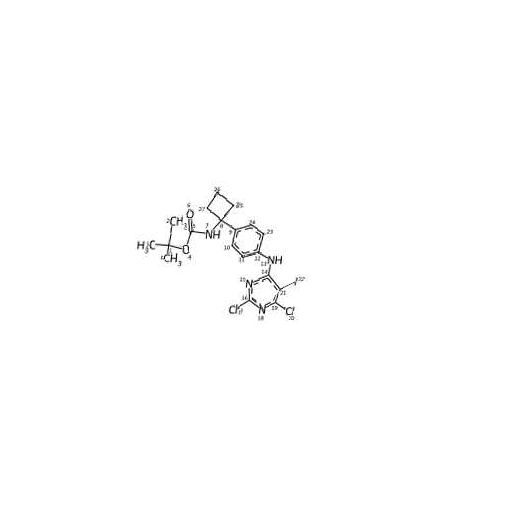 CC(C)(C)OC(=O)NC1(c2ccc(Nc3nc(Cl)nc(Cl)c3I)cc2)CCC1